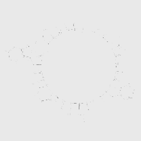 CC(C)CC1NC(C)C(Cc2ccccc2)N(C)C(=O)C(C)NC(=O)C(C(C)C)N(C)C(=O)CCNC(=O)C(C)N(C)C(=O)C(C(C)C)NC(=O)C(Cc2c[nH]c3ccccc23)N(C)C(=O)C2CCCNN2C(=O)C(CO)N(C)C1=O